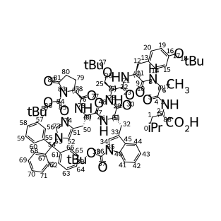 CC(C)C[C@H](NC(=O)[C@@H](C)NC(=O)[C@H](Cc1ccc(OC(C)(C)C)cc1)NC(=O)[C@H](COC(C)(C)C)NC(=O)[C@H](Cc1cn(C(=O)OC(C)(C)C)c2ccccc12)NC(=O)[C@H](Cc1cn(C(c2ccccc2)(c2ccccc2)c2ccccc2)cn1)NC(=O)[C@@H]1CCC(=O)N1C(=O)OC(C)(C)C)C(=O)O